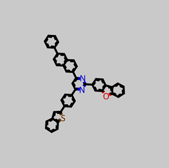 c1ccc(-c2ccc3cc(-c4cc(-c5ccc(-c6cc7ccccc7s6)cc5)nc(-c5ccc6c(c5)oc5ccccc56)n4)ccc3c2)cc1